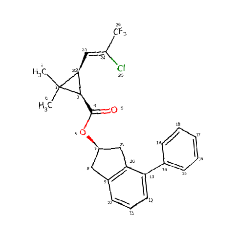 CC1(C)[C@H](C(=O)O[C@@H]2Cc3cccc(-c4ccccc4)c3C2)[C@@H]1C=C(Cl)C(F)(F)F